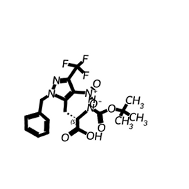 CC(C)(C)OC(=O)N[C@@H](Cc1c([N+](=O)[O-])c(C(F)(F)F)nn1Cc1ccccc1)C(=O)O